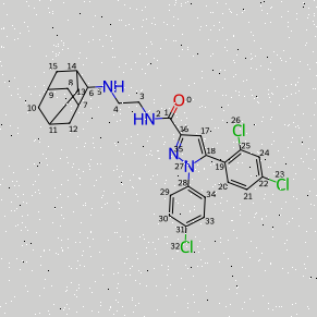 O=C(NCCNC1C2CC3CC(C2)CC1C3)c1cc(-c2ccc(Cl)cc2Cl)n(-c2ccc(Cl)cc2)n1